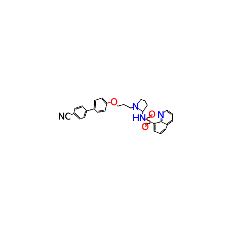 N#Cc1ccc(-c2ccc(OCCCN3CCCC3NS(=O)(=O)c3cccc4cccnc34)cc2)cc1